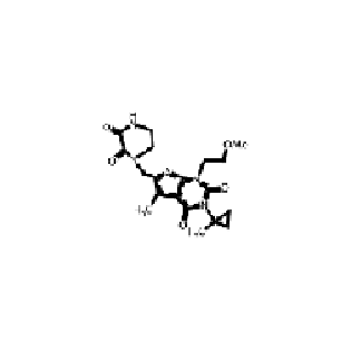 COCCn1c(=O)n(C2(C(F)(F)F)CC2)c(=O)c2c(C)c(CN3CCNC(=O)C3=O)sc21